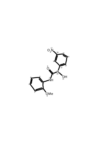 COc1ccccc1NC(=O)N(O)c1cccc([N+](=O)[O-])c1